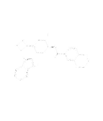 Cl.O=C(N[C@@H]1CCN(C2CCC2)[C@@H](c2nc3ccccc3[nH]2)C1)c1ccc2c(c1)OCCO2